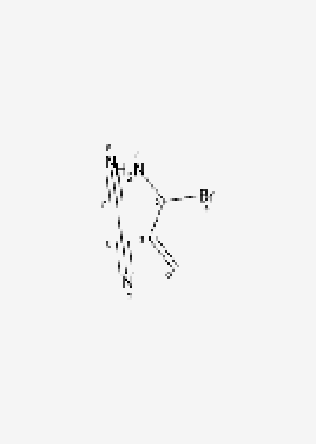 C=CC(N)Br.N#CC#N